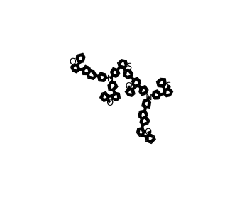 c1ccc2c(c1)oc1c(-c3ccc4cc(-c5ccc(N(c6ccc(-c7cccc8sc9ccccc9c78)cc6)c6ccc(-c7ccc(-c8ccc9c(c8)sc8cccc(-c%10ccc(N(c%11ccc(-c%12ccc%13cc(-c%14cccc%15oc%16ccccc%16c%14%15)ccc%13c%12)cc%11)c%11ccc(-c%12cccc%13oc%14ccccc%14c%12%13)cc%11)cc%10)c89)c8oc9ccccc9c78)cc6)cc5)ccc4c3)cccc12